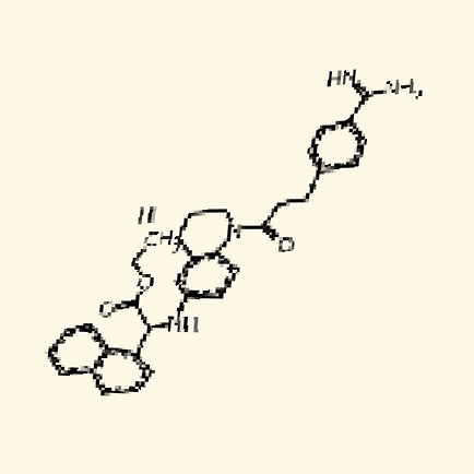 CCOC(=O)C(Nc1ccc2c(c1)CCCN2C(=O)CCc1ccc(C(=N)N)cc1)c1cccc2ccccc12.I